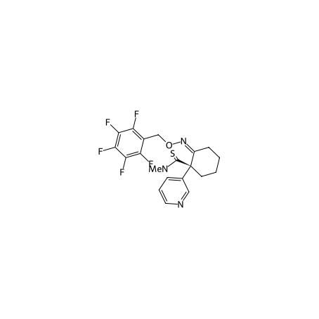 CNC(=S)[C@]1(c2cccnc2)CCCC/C1=N/OCc1c(F)c(F)c(F)c(F)c1F